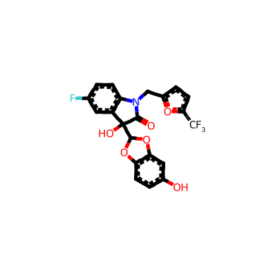 O=C1N(Cc2ccc(C(F)(F)F)o2)c2ccc(F)cc2C1(O)C1Oc2ccc(O)cc2O1